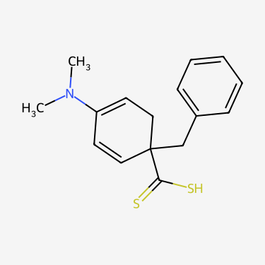 CN(C)C1=CCC(Cc2ccccc2)(C(=S)S)C=C1